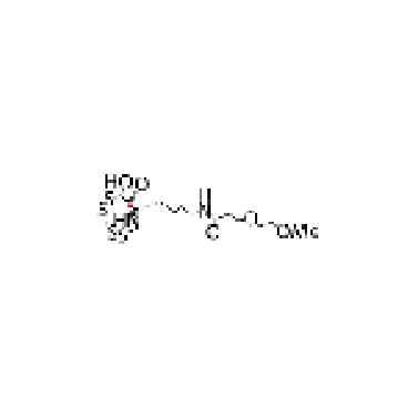 COCCOCCC(=O)NCCCC[C@@H]1NC2SSCSSC(O)(SS2)C1=O